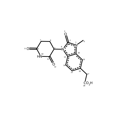 Cn1c(=O)n(C2CCC(=O)NC2=O)c2ccc(CC(=O)O)cc21